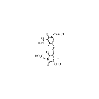 CC1=C(C=O)C(=O)N(CC(=O)O)C(=O)/C1=C\C=C\c1cn(CC(=O)O)c(=O)c(C(N)=O)c1C